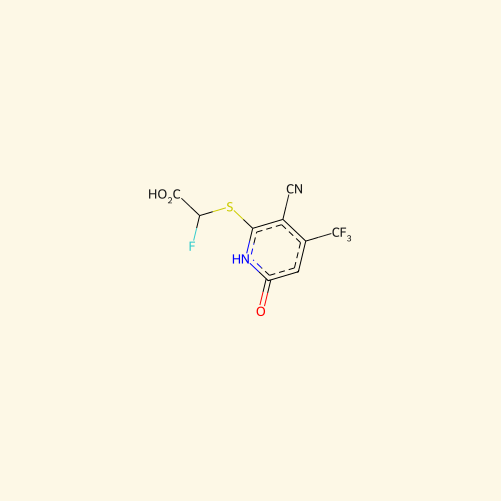 N#Cc1c(C(F)(F)F)cc(=O)[nH]c1SC(F)C(=O)O